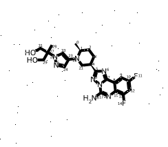 C[C@H]1CC[C@@H](c2nc3c4cc(F)cc(F)c4nc(N)n3n2)CN1c1cnn(C(C)(CO)CO)c1